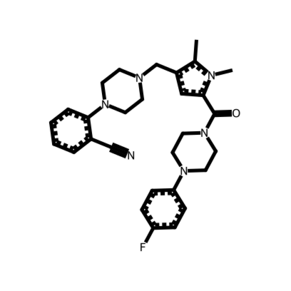 Cc1c(CN2CCN(c3ccccc3C#N)CC2)cc(C(=O)N2CCN(c3ccc(F)cc3)CC2)n1C